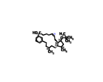 C[C@@H](CCc1ccccc1)CC[C@@H]1[C@@H](C/C=C\CCCC(=O)O)[C@@H](O[Si](C)(C)C)C[C@H]1C